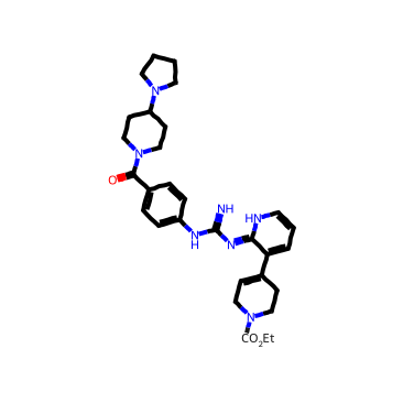 CCOC(=O)N1CC=C(c2ccc[nH]/c2=N\C(=N)Nc2ccc(C(=O)N3CCC(N4CCCC4)CC3)cc2)CC1